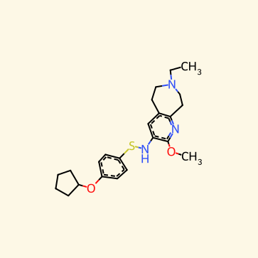 CCN1CCc2cc(NSc3ccc(OC4CCCC4)cc3)c(OC)nc2CC1